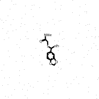 CCCC(SCC(=O)NC)c1ccc2c(c1)OCO2